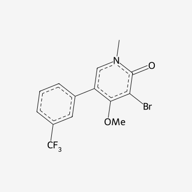 COc1c(-c2cccc(C(F)(F)F)c2)cn(C)c(=O)c1Br